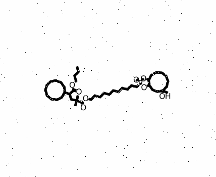 CCCCOC(=O)C(CC(C)(C)C(=O)OCCCCCCCCCCCP1(=O)OC2CCCCCCC(C)(O)CCC2O1)C1CCCCCCCCCC1